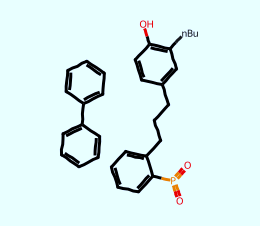 CCCCc1cc(CCCc2ccccc2P(=O)=O)ccc1O.c1ccc(-c2ccccc2)cc1